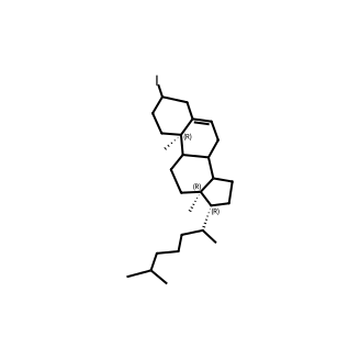 CC(C)CCCC(C)[C@H]1CCC2C3CC=C4CC(I)CC[C@]4(C)C3CC[C@@]21C